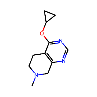 CN1CCc2c(ncnc2OC2CC2)C1